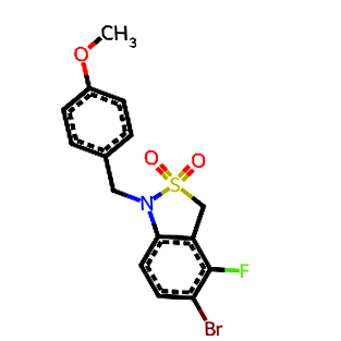 COc1ccc(CN2c3ccc(Br)c(F)c3CS2(=O)=O)cc1